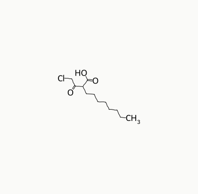 CCCCCCCCC(C(=O)O)C(=O)CCl